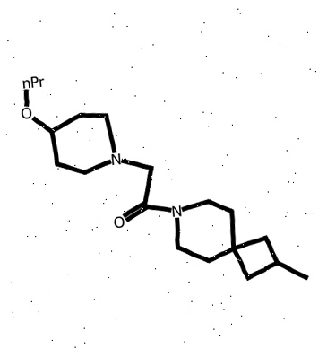 CCCOC1CCN(CC(=O)N2CCC3(CC2)CC(C)C3)CC1